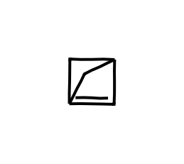 C1=C2CC1C2